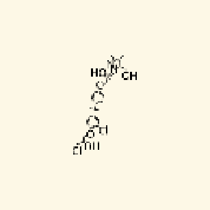 Cc1nnn(C[C@@H](O)COc2ccc(C(C)(C)c3ccc(OC[C@@H](O)CCl)c(Cl)c3)cc2)c1CO